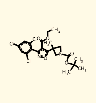 CCOC(=O)c1c(-c2c(Cl)cc(Cl)cc2Cl)noc1C1(C)CN(C(=O)OC(C)(C)C)C1